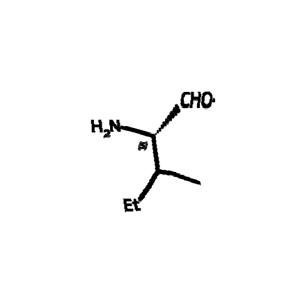 CCC(C)[C@H](N)[C]=O